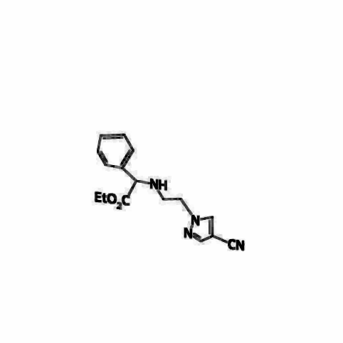 CCOC(=O)C(NCCn1cc(C#N)cn1)c1ccccc1